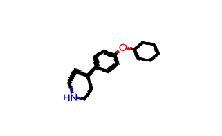 c1cc(C2CCNCC2)ccc1OC1CCCCC1